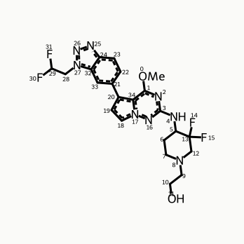 COc1nc(NC2CCN(CCO)CC2(F)F)nn2ccc(-c3ccc4nnn(CC(F)F)c4c3)c12